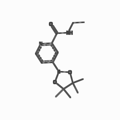 CCNC(=O)c1cc(B2OC(C)(C)C(C)(C)O2)ccn1